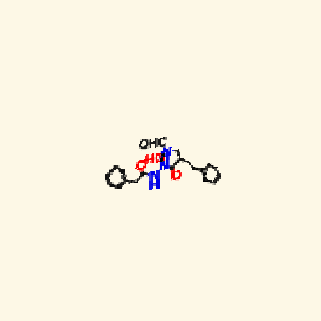 O=CN(O)CC(CCc1ccccc1)C(=O)NNC(=O)Cc1ccccc1